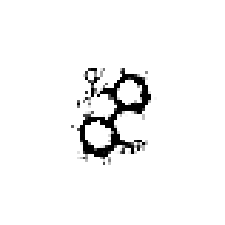 O=[N+]([O-])c1ccccc1-c1ccccc1Br